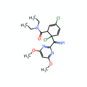 CCN(CC)C(=O)C1C=C(Cl)C=CC1(Cl)C(=N)c1nc(OC)cc(OC)n1